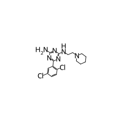 Nc1nc(NCCN2CCCCC2)nc(-c2cc(Cl)ccc2Cl)n1